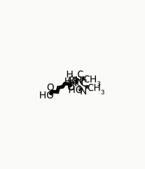 CC(C)=NO.CC(C)=NO.O=C(O)CCCCC(=O)O